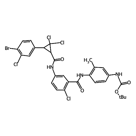 Cc1cc(NC(=O)OC(C)(C)C)ccc1NC(=O)c1cc(NC(=O)C2C(c3ccc(Br)c(Cl)c3)C2(Cl)Cl)ccc1Cl